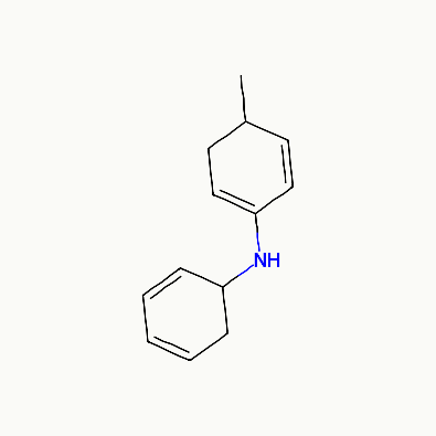 CC1C=CC(NC2C=CC=CC2)=CC1